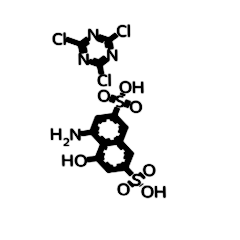 Clc1nc(Cl)nc(Cl)n1.Nc1cc(S(=O)(=O)O)cc2cc(S(=O)(=O)O)cc(O)c12